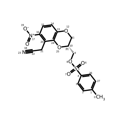 Cc1ccc(S(=O)(=O)OC[C@H]2COc3ccc([N+](=O)[O-])c(CC#N)c3O2)cc1